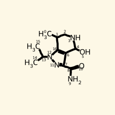 CC1CNC(O)c2c(C(N)=O)nn(C(C)C)c21